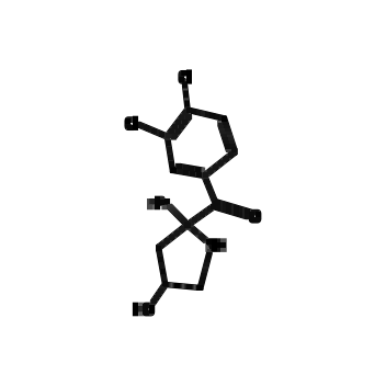 CCCC1(C(=O)c2ccc(Cl)c(Cl)c2)CC(O)CN1